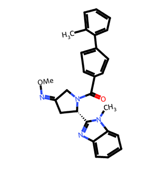 CON=C1C[C@@H](c2nc3ccccc3n2C)N(C(=O)c2ccc(-c3ccccc3C)cc2)C1